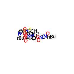 CCCCC(=O)N1CCN(C(=O)Oc2ccc(C[C@H](NC(=O)[C@H]3N(S(=O)(=O)c4cccnc4)CSC3(C)C)C(=O)OC(C)(C)C)cc2)CC1